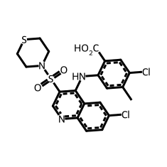 Cc1cc(Nc2c(S(=O)(=O)N3CCSCC3)cnc3ccc(Cl)cc23)c(C(=O)O)cc1Cl